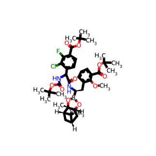 COc1c(C[C@H](NC(=O)C(NC(=O)OC(C)(C)C)c2ccc(C(=O)OC(C)(C)C)c(F)c2Cl)B2O[C@@H]3C[C@@H]4C[C@@H](C4(C)C)[C@]3(C)O2)cccc1C(=O)OC(C)(C)C